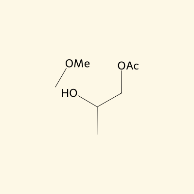 CC(=O)OCC(C)O.COC